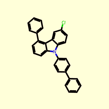 Clc1ccc2c(c1)c1c(-c3ccccc3)cccc1n2-c1ccc(-c2ccccc2)cc1